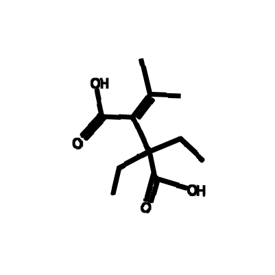 CCC(CC)(C(=O)O)C(C(=O)O)=C(C)C